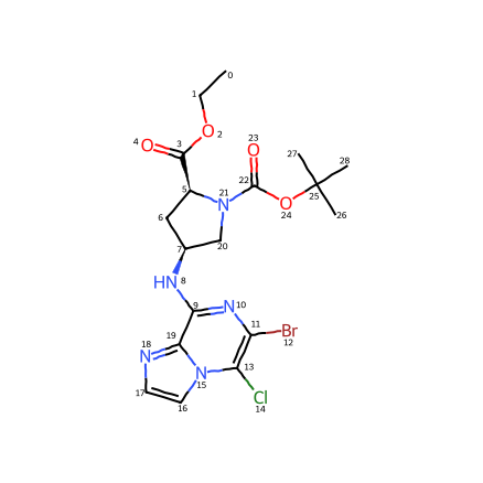 CCOC(=O)[C@@H]1C[C@H](Nc2nc(Br)c(Cl)n3ccnc23)CN1C(=O)OC(C)(C)C